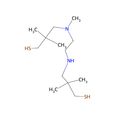 CN(CCNCC(C)(C)CS)CC(C)(C)CS